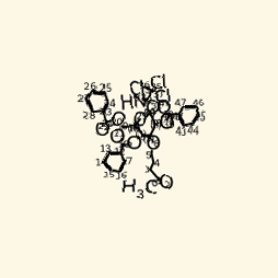 CC(=O)CCCO[C@H]1[C@@H](OC(=O)c2ccccc2)[C@@H](COC(=O)c2ccccc2)O[C@H](OC(=N)C(Cl)(Cl)Cl)[C@@H]1OC(=O)c1ccccc1